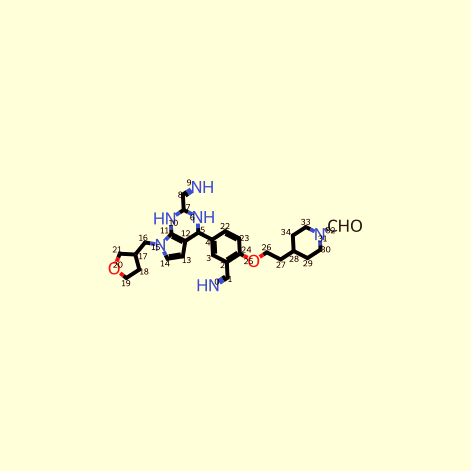 N=Cc1cc(C2NC(C=N)Nc3c2ccn3CC2CCOC2)ccc1OCCC1CCN(C=O)CC1